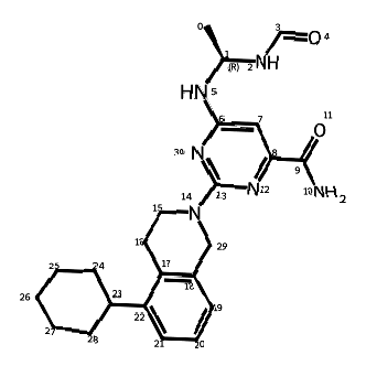 C[C@@H](NC=O)Nc1cc(C(N)=O)nc(N2CCc3c(cccc3C3CCCCC3)C2)n1